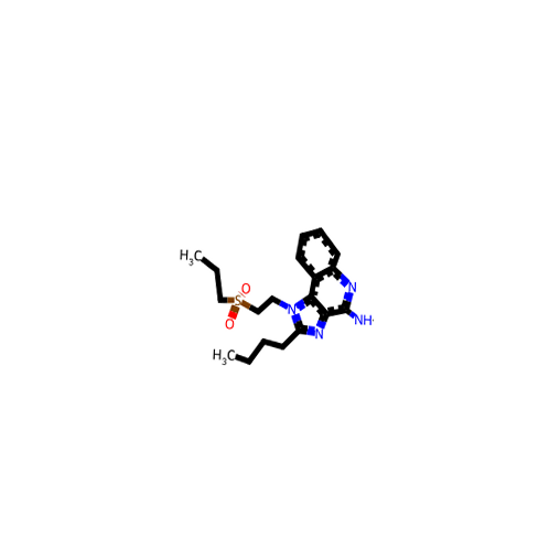 CCCCc1nc2c([NH])nc3ccccc3c2n1CCS(=O)(=O)CCC